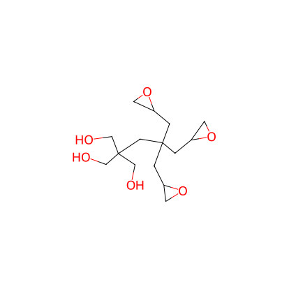 OCC(CO)(CO)CC(CC1CO1)(CC1CO1)CC1CO1